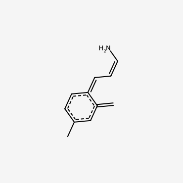 C=c1cc(C)cc/c1=C/C=C\N